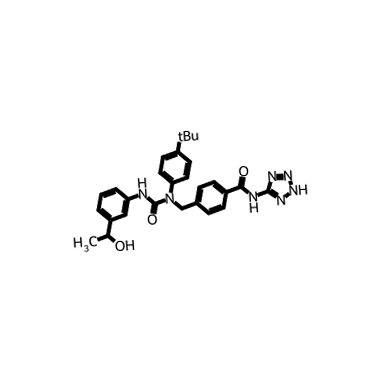 CC(O)c1cccc(NC(=O)N(Cc2ccc(C(=O)Nc3nn[nH]n3)cc2)c2ccc(C(C)(C)C)cc2)c1